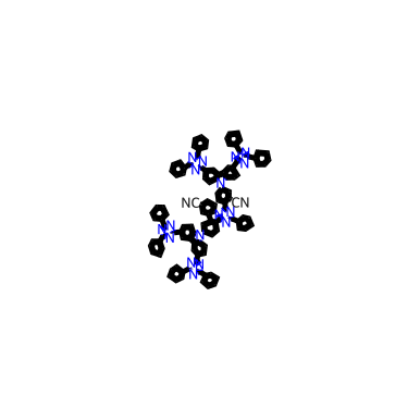 N#Cc1cccc(-c2cc(-n3c4ccc(-c5nc(-c6ccccc6)nc(-c6ccccc6)n5)cc4c4cc(-c5nc(-c6ccccc6)nc(-c6ccccc6)n5)ccc43)ccc2-c2nc(-c3ccccc3)nc(-c3ccc(-n4c5ccc(-c6nc(-c7ccccc7)nc(-c7ccccc7)n6)cc5c5cc(-c6nc(-c7ccccc7)nc(-c7ccccc7)n6)ccc54)cc3C#N)n2)c1